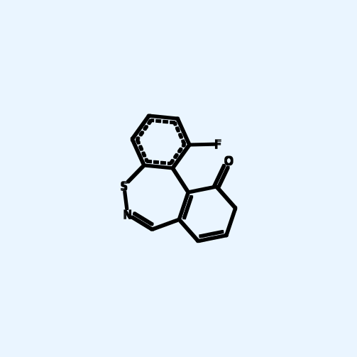 O=C1CC=CC2=C1c1c(F)cccc1SN=C2